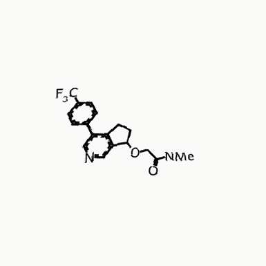 CNC(=O)COC1CCc2c(-c3ccc(C(F)(F)F)cc3)cncc21